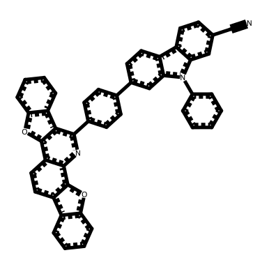 N#Cc1ccc2c3ccc(-c4ccc(-c5nc6c(ccc7c8ccccc8oc76)c6oc7ccccc7c56)cc4)cc3n(-c3ccccc3)c2c1